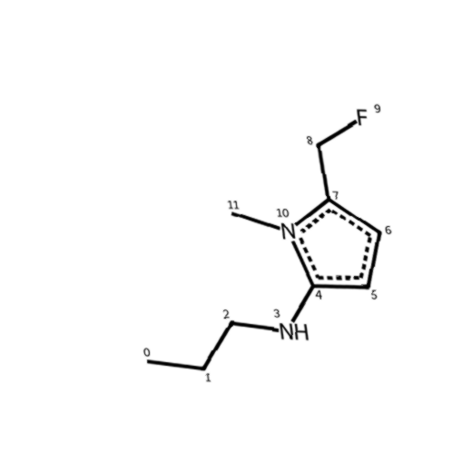 CCCNc1ccc(CF)n1C